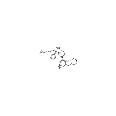 CNCC(CC1CCCCC1)NC(=O)N1CCC[C@@H]([C@@](O)(CCCCOC)c2ccsc2)C1